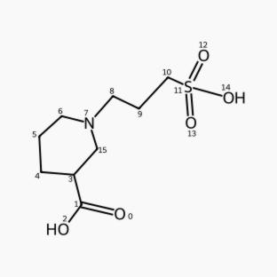 O=C(O)C1CCCN(CCCS(=O)(=O)O)C1